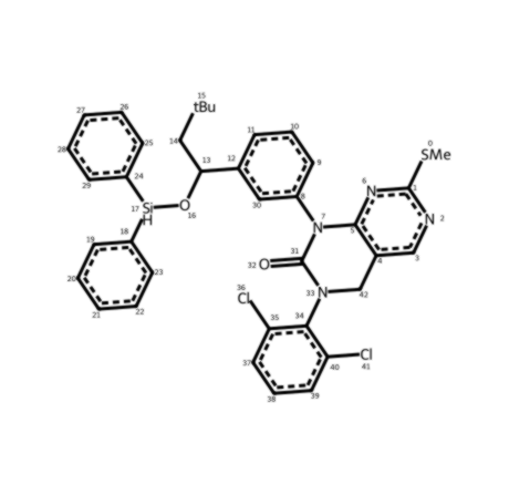 CSc1ncc2c(n1)N(c1cccc(C(CC(C)(C)C)O[SiH](c3ccccc3)c3ccccc3)c1)C(=O)N(c1c(Cl)cccc1Cl)C2